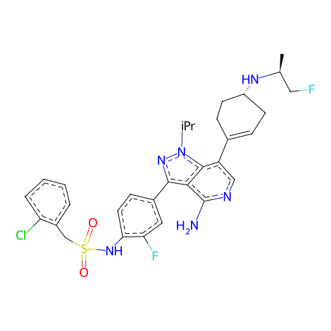 CC(C)n1nc(-c2ccc(NS(=O)(=O)Cc3ccccc3Cl)c(F)c2)c2c(N)ncc(C3=CC[C@@H](N[C@@H](C)CF)CC3)c21